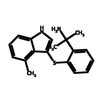 Cc1cccc2[nH]cc(Sc3ccccc3C(C)(C)N)c12